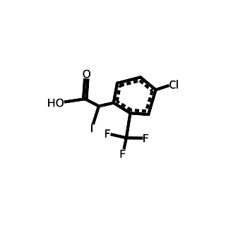 O=C(O)C(I)c1ccc(Cl)cc1C(F)(F)F